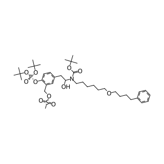 CC(C)(C)OC(=O)N(CCCCCCOCCCCc1ccccc1)C(O)Cc1ccc(OP(=O)(OC(C)(C)C)OC(C)(C)C)c(COS(C)(=O)=O)c1